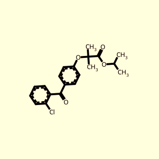 CC(C)OC(=O)C(C)(C)Oc1ccc(C(=O)c2ccccc2Cl)cc1